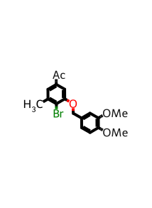 COc1ccc(COc2cc(C(C)=O)cc(C)c2Br)cc1OC